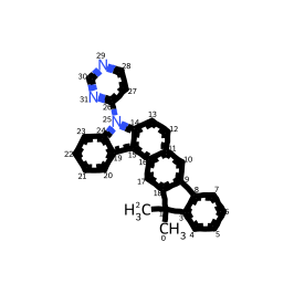 CC1(C)c2ccccc2-c2cc3ccc4c(c3cc21)c1ccccc1n4-c1ccncn1